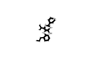 CCCc1ccccc1Oc1c(O)nc(-c2ccncc2)nc1C(C)C